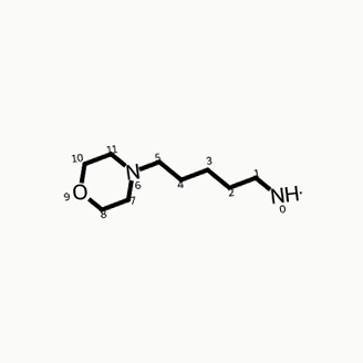 [NH]CCCCCN1CCOCC1